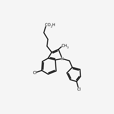 Cc1c(CCCC(=O)O)c2cc(Cl)ccc2n1Cc1ccc(Cl)cc1